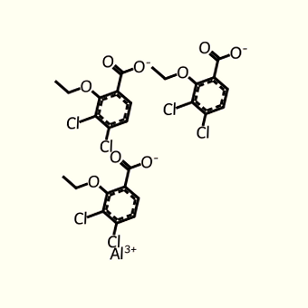 CCOc1c(C(=O)[O-])ccc(Cl)c1Cl.CCOc1c(C(=O)[O-])ccc(Cl)c1Cl.CCOc1c(C(=O)[O-])ccc(Cl)c1Cl.[Al+3]